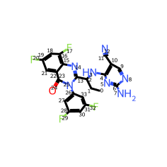 CCC(Nc1nc(N)ncc1C#N)c1nc2c(F)cc(F)cc2c(=O)n1-c1cc(F)cc(F)c1